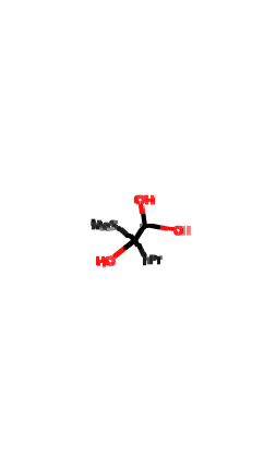 CCCC(O)(SC)[C](O)O